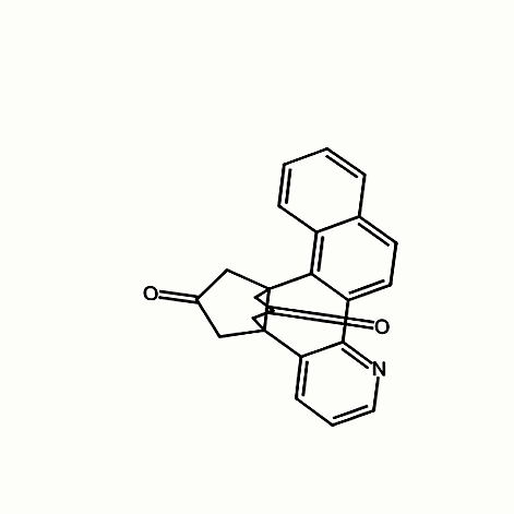 O=C1CC23CC(=O)CC2(C1)c1c(ccc2ccccc12)-c1ncccc13